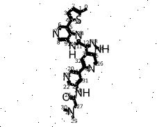 Cc1ccc(-c2cncc3[nH]c(-c4n[nH]c5cnc(-c6cncc(NC(=O)CN(C)C)c6)cc45)nc23)s1